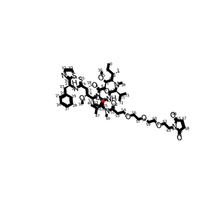 CC[C@H](C)[C@@H]([C@@H](CC(=O)N1CCC[C@H]1[C@H](OC)[C@@H](C)C(=S)N[C@@H](Cc1ccccc1)c1nccs1)OC)N(C)[C@H](C(=O)NC(=O)[C@H](C(C)C)N(C)C(=O)CCOCCOCCOCCN1C(=O)C=CC1=O)C(C)C